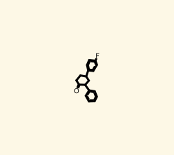 O=C1CCC(c2ccc(F)cc2)CC1c1ccccc1